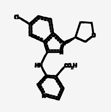 O=C(O)c1ccncc1Nc1nn([C@H]2CCOC2)c2ccc(Cl)cc12